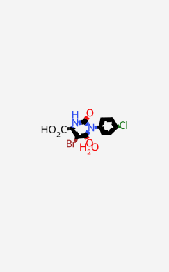 O.O=C(O)c1[nH]c(=O)n(-c2ccc(Cl)cc2)c(=O)c1Br